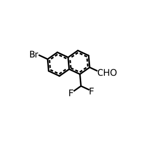 O=Cc1ccc2cc(Br)ccc2c1C(F)F